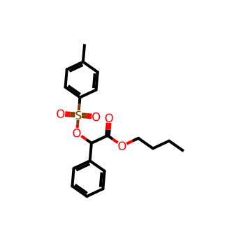 CCCCOC(=O)C(OS(=O)(=O)c1ccc(C)cc1)c1ccccc1